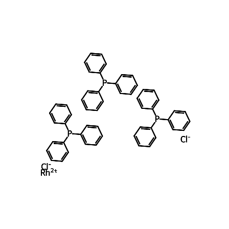 [Cl-].[Cl-].[Rh+2].c1ccc(P(c2ccccc2)c2ccccc2)cc1.c1ccc(P(c2ccccc2)c2ccccc2)cc1.c1ccc(P(c2ccccc2)c2ccccc2)cc1